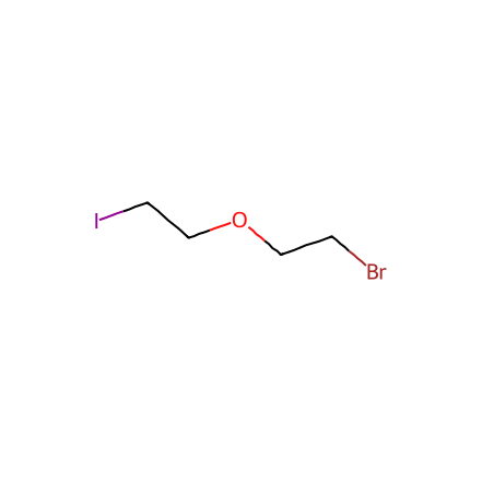 BrCCOCCI